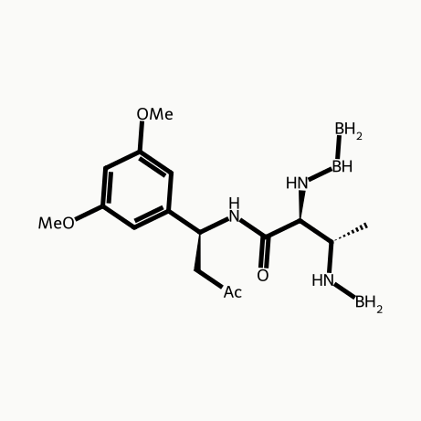 BBN[C@H](C(=O)N[C@@H](CC(C)=O)c1cc(OC)cc(OC)c1)[C@H](C)NB